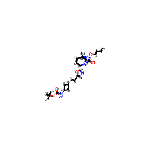 CCCCON1C(=O)N2C[C@@H]1CC[C@H]2c1nnc(CC[C@H]2C[C@@H](NC(=O)OC(C)(C)C)C2)o1